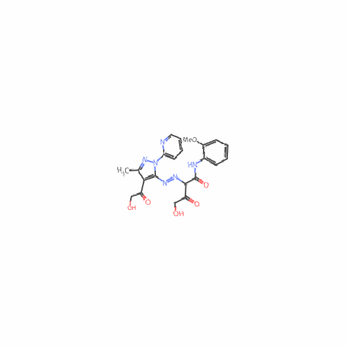 COc1ccccc1NC(=O)C(N=Nc1c(C(=O)CO)c(C)nn1-c1ccccn1)C(=O)CO